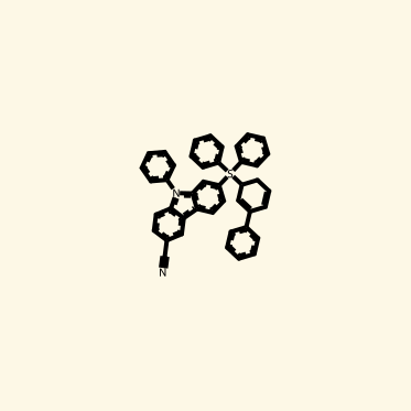 N#Cc1ccc2c(c1)c1ccc(S(c3ccccc3)(c3ccccc3)C3C=C(c4ccccc4)C=CC3)cc1n2-c1ccccc1